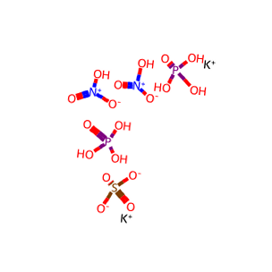 O=P(O)(O)O.O=P(O)(O)O.O=S(=O)([O-])[O-].O=[N+]([O-])O.O=[N+]([O-])O.[K+].[K+]